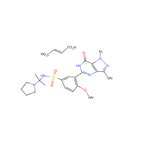 CCCOc1ccc(S(=O)(=O)NC(C)(C)N2CCCC2)cc1-c1nc2c(CCC)nn(CC)c2c(=O)[nH]1.O=C(O)C=CC(=O)O